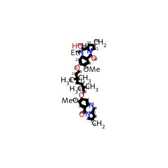 C=C1CC2C=Nc3cc(OCC(C)(C)CCC(C)(C)CCOc4cc5c(cc4OC)C(=O)N4CC(=C)C[C@H]4[C@H](O)N5CC)c(OC)cc3C(=O)N2C1